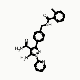 Cc1ccccc1C(=O)NCc1ccc(-c2nn(-c3ccccn3)c(N)c2C(N)=O)cc1